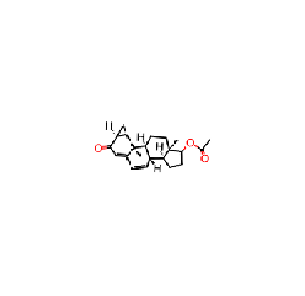 CC(=O)O[C@H]1CC[C@H]2[C@@H]3C=CC4=CC(=O)[C@H]5CC5[C@]4(C)[C@H]3CC[C@]12C